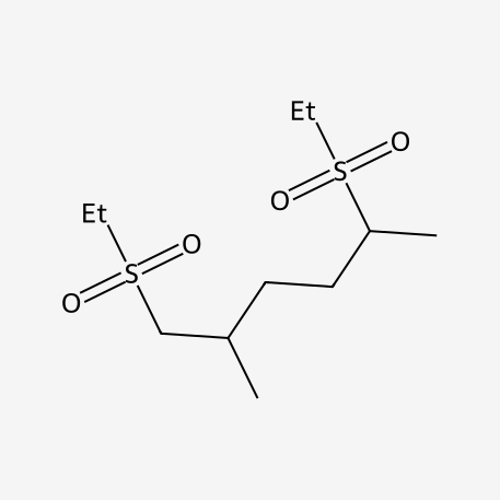 CCS(=O)(=O)CC(C)CCC(C)S(=O)(=O)CC